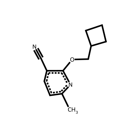 Cc1ccc(C#N)c(OCC2CCC2)n1